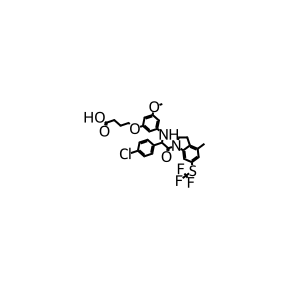 COc1cc(NC(C(=O)N2CCc3c(C)cc(SC(F)(F)F)cc32)c2ccc(Cl)cc2)cc(OCCCC(=O)O)c1